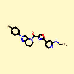 CC(C)c1ccc(-n2cc3c(n2)CCCN3C(=O)c2coc(-c3ccnc(NCC(F)(F)F)c3)n2)cc1